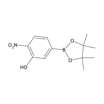 CC1(C)OB(c2ccc([N+](=O)[O-])c(O)c2)OC1(C)C